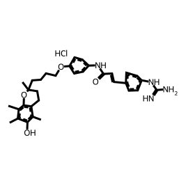 Cc1c(C)c2c(c(C)c1O)CCC(C)(CCCCOc1ccc(NC(=O)C=Cc3ccc(NC(=N)N)cc3)cc1)O2.Cl